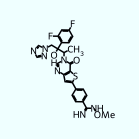 CONC(=N)c1ccc(-c2cc3ncn(C(C)C(O)(Cn4cncn4)c4ccc(F)cc4F)c(=O)c3s2)cc1